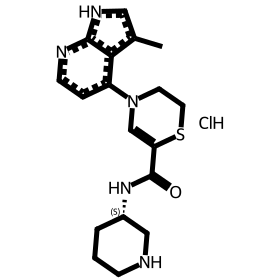 Cc1c[nH]c2nccc(N3C=C(C(=O)N[C@H]4CCCNC4)SCC3)c12.Cl